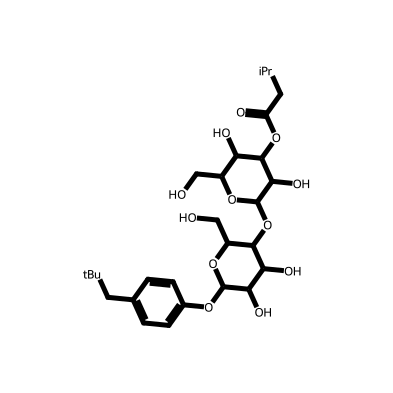 CC(C)CC(=O)OC1C(O)C(CO)OC(OC2C(CO)OC(Oc3ccc(CC(C)(C)C)cc3)C(O)C2O)C1O